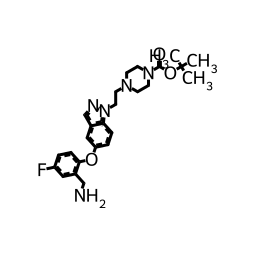 CC(C)(C)OC(=O)N1CCN(CCn2ncc3cc(Oc4ccc(F)cc4CN)ccc32)CC1